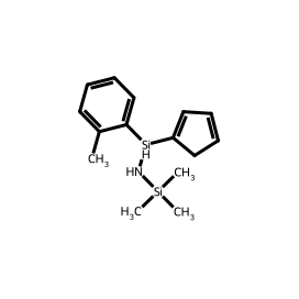 Cc1ccccc1[SiH](N[Si](C)(C)C)C1=CC=CC1